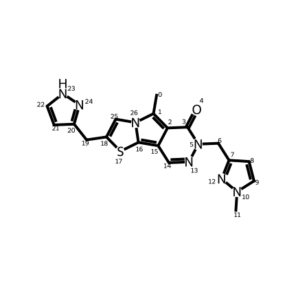 Cc1c2c(=O)n(Cc3ccn(C)n3)ncc2c2sc(Cc3cc[nH]n3)cn12